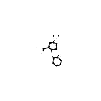 O=C(O)c1cc([N+](=O)[O-])ccc1Oc1ccccc1O